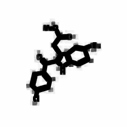 COC(=O)Cc1c(C(=O)c2ccc(Cl)cc2)[nH]c2ccc(C(C)(C)C)cc12